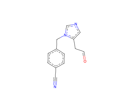 N#Cc1ccc(Cn2cncc2CC=O)cc1